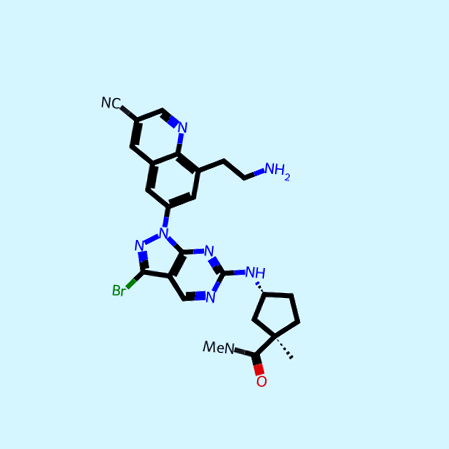 CNC(=O)[C@]1(C)CC[C@@H](Nc2ncc3c(Br)nn(-c4cc(CCN)c5ncc(C#N)cc5c4)c3n2)C1